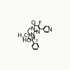 CC1(C)CCn2c(nc(-c3ccncc3)c(F)c2=O)N1CC(O)c1ccccc1